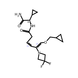 NC(=O)[C@H](NC(=O)C/C=C\C(=C\OCC1CC1)N1CC(F)(F)C1)C1CC1